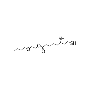 CCCCOCCOC(=O)CCCCC(S)CCS